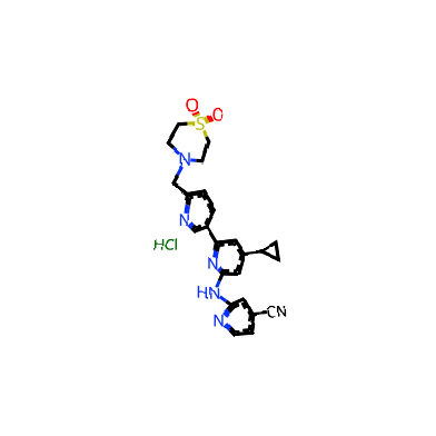 Cl.N#Cc1ccnc(Nc2cc(C3CC3)cc(-c3ccc(CN4CCS(=O)(=O)CC4)nc3)n2)c1